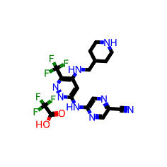 N#Cc1cnc(Nc2cc(NCC3CCNCC3)c(C(F)(F)F)nn2)cn1.O=C(O)C(F)(F)F